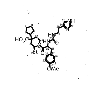 CCC1CC(C(=O)O)(C2CCCC2)CCN1C(=O)C(Cc1ccc(OC)cc1)NC(=O)NCCc1c[nH]cn1